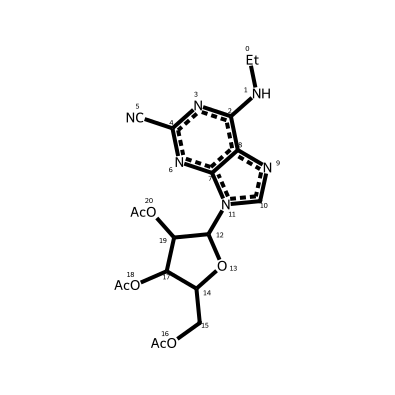 CCNc1nc(C#N)nc2c1ncn2C1OC(COC(C)=O)C(OC(C)=O)C1OC(C)=O